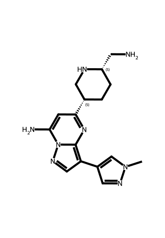 Cn1cc(-c2cnn3c(N)cc([C@H]4CC[C@@H](CN)NC4)nc23)cn1